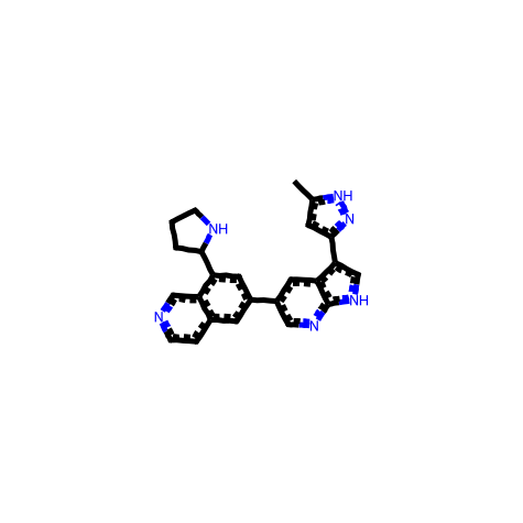 Cc1cc(-c2c[nH]c3ncc(-c4cc(C5CCCN5)c5cnccc5c4)cc23)n[nH]1